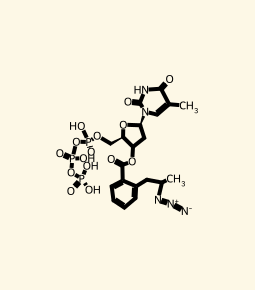 Cc1cn([C@H]2CC(OC(=O)c3ccccc3CC(C)N=[N+]=[N-])[C@@H](COP(=O)(O)OP(=O)(O)OP(=O)(O)O)O2)c(=O)[nH]c1=O